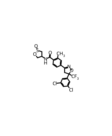 Cc1cc(C2=NOC(c3cc(Cl)cc(Cl)c3)(C(F)(F)F)C2)ccc1C(=O)NC1COS(=O)C1